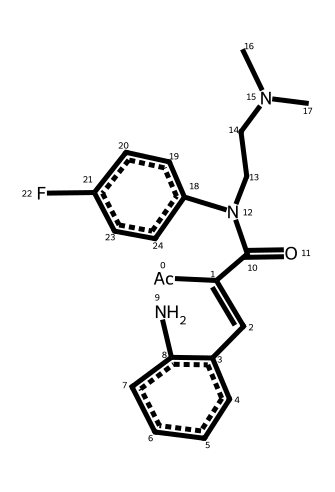 CC(=O)C(=Cc1ccccc1N)C(=O)N(CCN(C)C)c1ccc(F)cc1